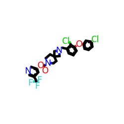 O=C(Oc1cncc(C(F)(F)F)c1)N1CCC2(CC1)CN(Cc1cccc(Oc3cccc(Cl)c3)c1Cl)C2